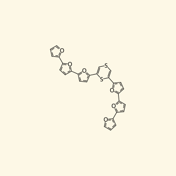 C1=C(c2ccc(-c3ccc(-c4ccco4)o3)o2)SC(c2ccc(-c3ccc(-c4ccco4)o3)o2)=CS1